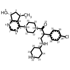 C[C@@H]1C[C@@H](O)c2ncnc(N3CCN(C(=O)C(CNC4CCNCC4)c4ccc(Cl)cc4)CC3)c21